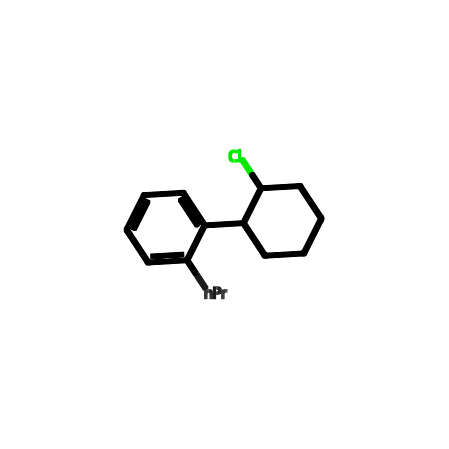 CCCc1ccccc1C1CCCCC1Cl